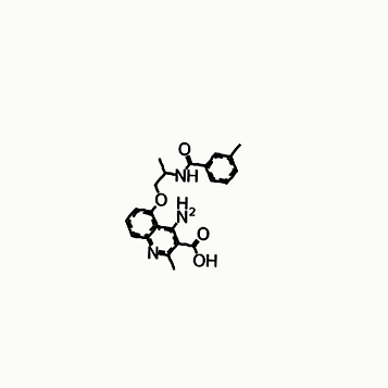 Cc1cccc(C(=O)NC(C)COc2cccc3nc(C)c(C(=O)O)c(N)c23)c1